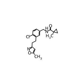 Cc1cc(CCc2cc(CNC(=O)C3(C)CC3)ccc2Cl)no1